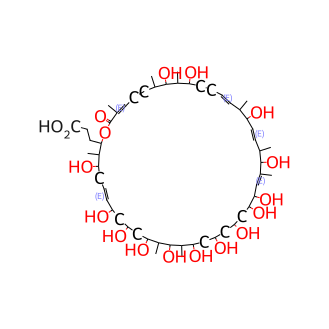 C/C1=C\CCC(C)C(O)C(C)C(O)CC/C=C/C(C)C(O)/C=C/C(C)C(O)/C(C)=C/C(O)C(O)CC(O)CC(O)CC(O)C(C)C(O)C(C)C(O)CC(O)CC(O)/C=C/CC(O)C(C)C(CCC(=O)O)OC1=O